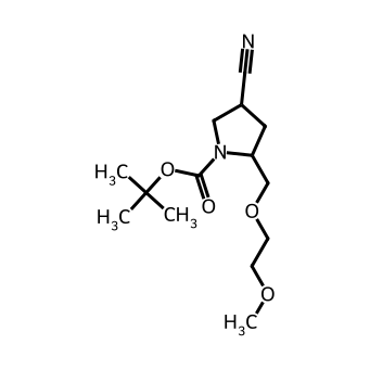 COCCOCC1CC(C#N)CN1C(=O)OC(C)(C)C